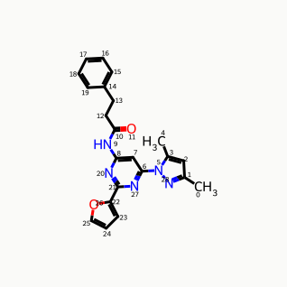 Cc1cc(C)n(-c2cc(NC(=O)CCc3ccccc3)nc(-c3ccco3)n2)n1